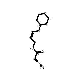 [N-]=[N+]=CC(=O)OC/C=C\CC1CCCCC1